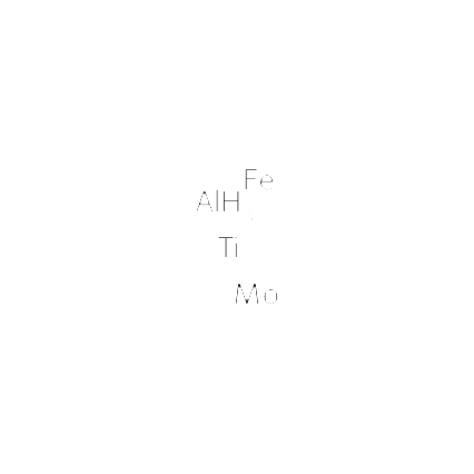 [AlH3].[Fe].[Mo].[Ti]